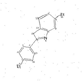 CCc1ccc(C2=Nc3cc(CC)ccc3C2)cc1